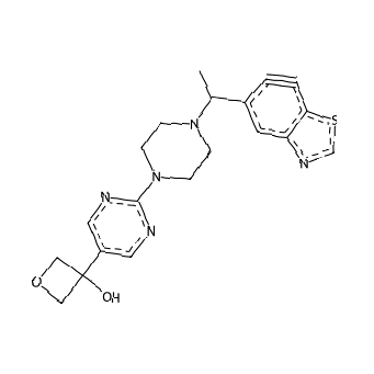 CC(c1c#cc2scnc2c1)N1CCN(c2ncc(C3(O)COC3)cn2)CC1